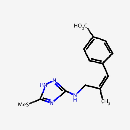 CSc1nc(NCC(C)=Cc2ccc(C(=O)O)cc2)n[nH]1